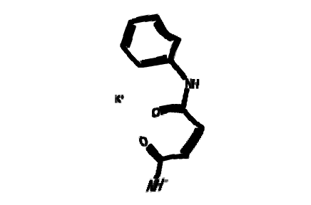 [K+].[NH-]C(=O)/C=C\C(=O)Nc1ccccc1